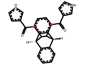 O=C(OC1C(OC(=O)c2cc[nH]c2)[C@H]2c3ccccc3[C@H]1c1ccccc12)c1cc[nH]c1